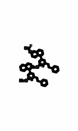 CO[c+]1cc(-c2cccc3ccccc23)cc(C=Cc2ccccc2)s1.CO[c+]1cc(-c2cccc3ccccc23)cc(C=Cc2ccccc2)s1.[O-]B([O-])F